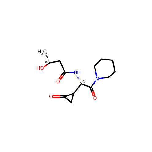 C[C@@H](O)CC(=O)N[C@H](C(=O)N1CCCCC1)C1CC1=O